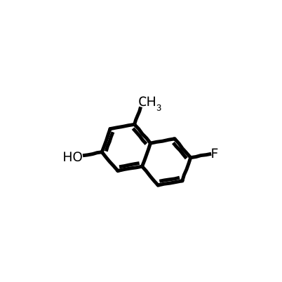 Cc1cc(O)cc2ccc(F)cc12